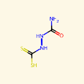 NC(=O)NNC(=S)S